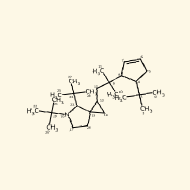 CC(C)(C)C1CC=CC1C(C)(C)CC1CC12CCN(C(C)(C)C)C2C(C)(C)C